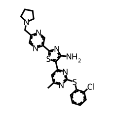 Cc1cc(-c2sc(-c3cnc(CN4CCCC4)cn3)nc2N)nc(Sc2ccccc2Cl)n1